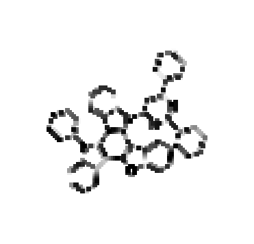 c1ccc(-c2cc(-n3c4ccccc4c4c5c(c6ccccc6n5-c5ccccc5)c5oc6ccccc6c5c43)nc(-c3ccccc3)n2)cc1